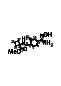 COC(=O)C1(NCc2ccc(/C(N)=N/O)cc2F)CCC1